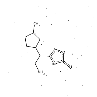 CC1CCC(C(CN)c2noc(=O)[nH]2)C1